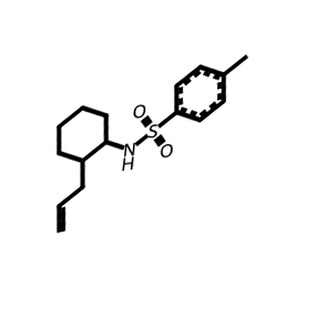 C=CCC1CCCCC1NS(=O)(=O)c1ccc(C)cc1